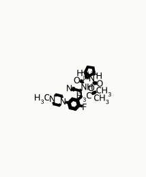 CN1CCN(c2ccc(F)c(C[C@@H](C#N)NC(=O)[C@@H]3[C@H]4CC[C@H](C4)N3C(=O)OC(C)(C)C)c2)CC1